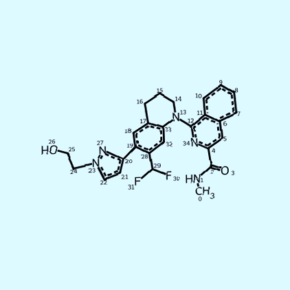 CNC(=O)c1cc2ccccc2c(N2CCCc3cc(-c4ccn(CCO)n4)c(C(F)F)cc32)n1